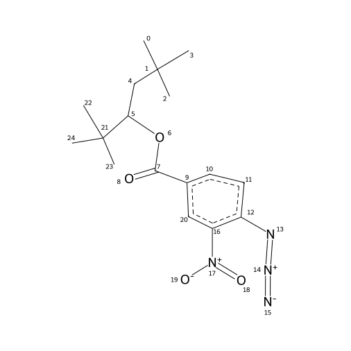 CC(C)(C)CC(OC(=O)c1ccc(N=[N+]=[N-])c([N+](=O)[O-])c1)C(C)(C)C